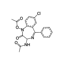 CC(=O)NC1N=C(c2ccccc2)c2cc(Cl)ccc2N(OC(C)=O)C1=O